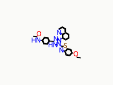 CCOc1ccc2nc(N3NC(c4ccc(NC(C)=O)cc4)=NN3c3cccc4cccnc34)sc2c1